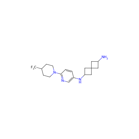 NC1CC2(C1)CC(Nc1ccc(N3CCC(C(F)(F)F)CC3)nc1)C2